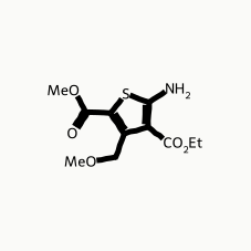 CCOC(=O)c1c(N)sc(C(=O)OC)c1COC